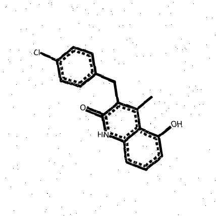 Cc1c(Cc2ccc(Cl)cc2)c(=O)[nH]c2cccc(O)c12